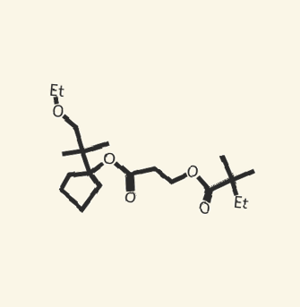 CCOCC(C)(C)C1(OC(=O)CCOC(=O)C(C)(C)CC)CCCC1